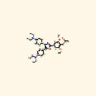 CCN(CC)c1ccc(-c2nc(-c3cc(OC)c(OC(C)=O)c(OC)c3)sc2-c2ccc(N(CC)CC)cc2)cc1